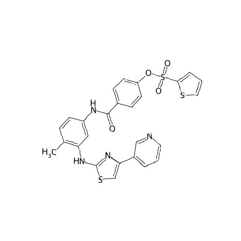 Cc1ccc(NC(=O)c2ccc(OS(=O)(=O)c3cccs3)cc2)cc1Nc1nc(-c2cccnc2)cs1